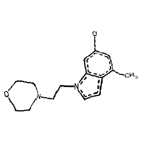 Cc1cc(Cl)cc2c1ccn2CCN1CCOCC1